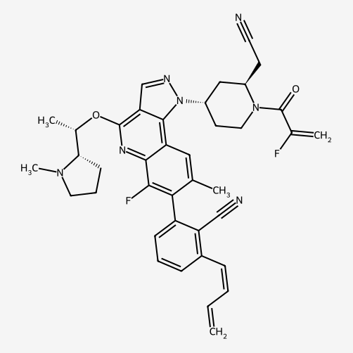 C=C/C=C\c1cccc(-c2c(C)cc3c(nc(O[C@@H](C)[C@@H]4CCCN4C)c4cnn([C@H]5CCN(C(=O)C(=C)F)[C@H](CC#N)C5)c43)c2F)c1C#N